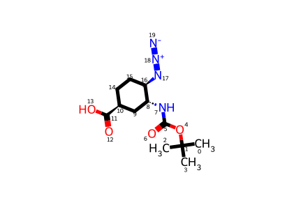 CC(C)(C)OC(=O)N[C@@H]1C[C@@H](C(=O)O)CC[C@H]1N=[N+]=[N-]